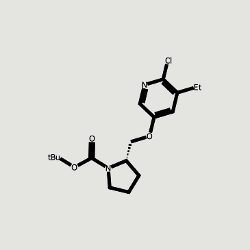 CCc1cc(OC[C@@H]2CCCN2C(=O)OC(C)(C)C)cnc1Cl